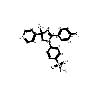 CS(=O)(=O)c1ccc(N2CC(O)(c3ccncc3)N=C2c2ccc(Cl)cc2)cc1